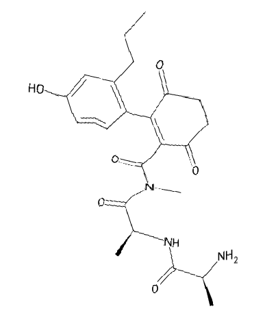 CCCc1cc(O)ccc1C1=C(C(=O)N(C)C(=O)[C@H](C)NC(=O)[C@H](C)N)C(=O)CCC1=O